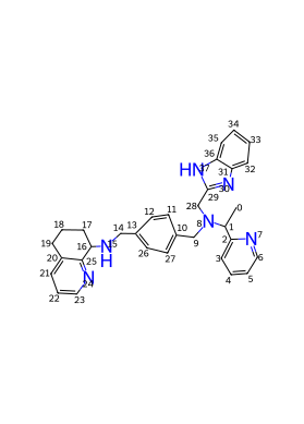 CC(c1ccccn1)N(Cc1ccc(CNC2CCCc3cccnc32)cc1)Cc1nc2ccccc2[nH]1